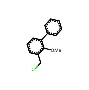 COc1c(CCl)cccc1-c1ccccc1